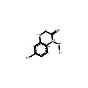 CCON1C(=O)COc2cc(F)ccc21